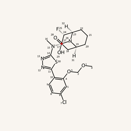 COCOc1cc(Cl)ccc1-c1nnc(N(C)[C@H]2C[C@@H]3CCC[C@H]([C@H]2F)N3C(=O)O)s1